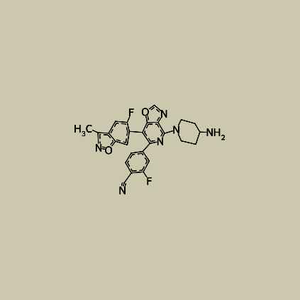 Cc1noc2cc(-c3c(-c4ccc(C#N)c(F)c4)nc(N4CCC(N)CC4)c4ncoc34)c(F)cc12